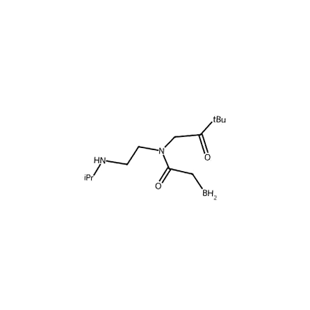 BCC(=O)N(CCNC(C)C)CC(=O)C(C)(C)C